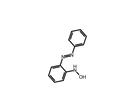 ONc1ccccc1N=Nc1ccccc1